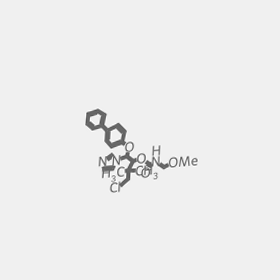 COCNC(=O)OC(C(Oc1ccc(-c2ccccc2)cc1)n1ccnc1)C(C)(C)CCl